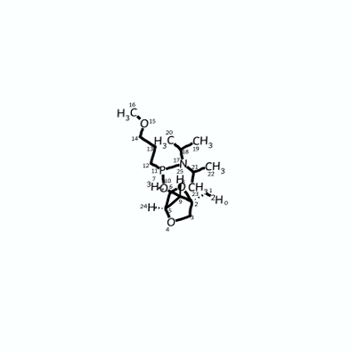 [2H]C[C@@]12CO[C@@H]([C@H]([3H])O1)[C@@H]2OP(CCCOC)N(C(C)C)C(C)C